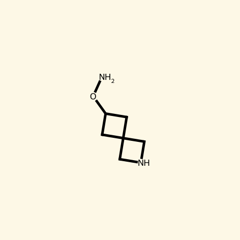 NOC1CC2(CNC2)C1